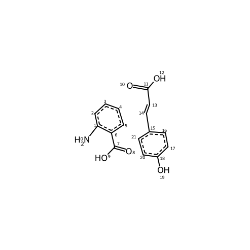 Nc1ccccc1C(=O)O.O=C(O)/C=C/c1ccc(O)cc1